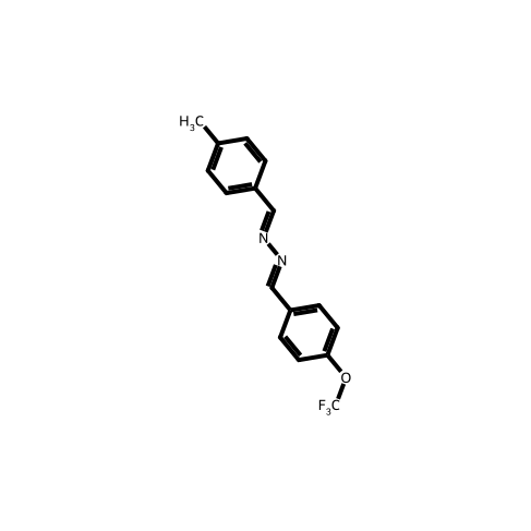 Cc1ccc(C=NN=Cc2ccc(OC(F)(F)F)cc2)cc1